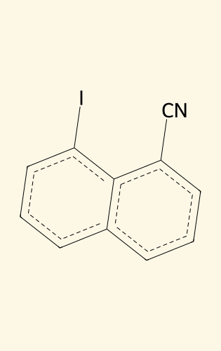 N#Cc1cccc2cccc(I)c12